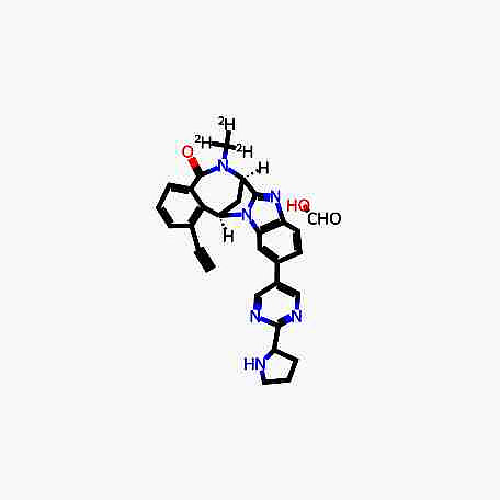 O=CO.[2H]C([2H])([2H])N1C(=O)c2cccc(C#C)c2[C@H]2C[C@@H]1c1nc3ccc(-c4cnc(C5CCCN5)nc4)cc3n12